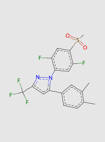 Cc1ccc(-c2cc(C(F)(F)F)nn2-c2cc(F)c(S(C)(=O)=O)cc2F)cc1C